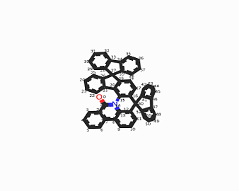 O=c1c2ccccc2c2cccc3c2n1-c1c(ccc2c1-c1ccccc1C21c2ccccc2-c2ccccc21)C31c2ccccc2-c2ccccc21